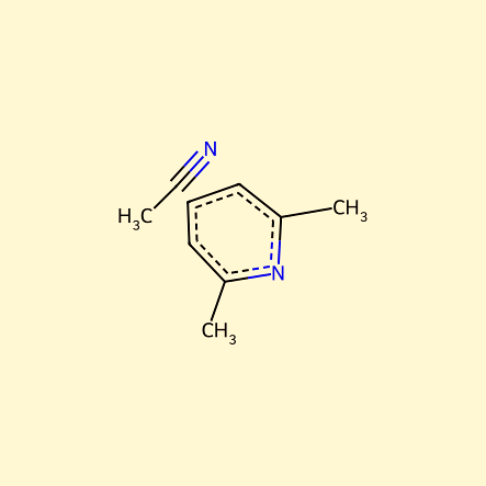 CC#N.Cc1cccc(C)n1